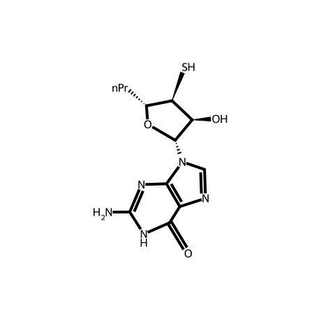 CCC[C@H]1O[C@@H](n2cnc3c(=O)[nH]c(N)nc32)[C@H](O)[C@@H]1S